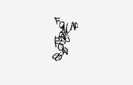 COc1cc2nccc(Oc3ccc(NC(=O)c4c(C)c(CCN5CCCC5)cn(-c5ccc(F)cc5)c4=O)cc3F)c2cc1OC